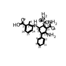 Cc1c(Nc2cc(-c3ccccc3)c(N)c(C(N)=O)c2S(N)(=O)=O)cccc1C(=O)O